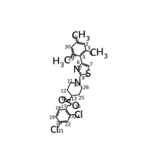 Cc1cc(C)c(-c2csc(N3CCC(S(=O)(=O)c4ccc(Cl)cc4Cl)CC3)n2)c(C)c1